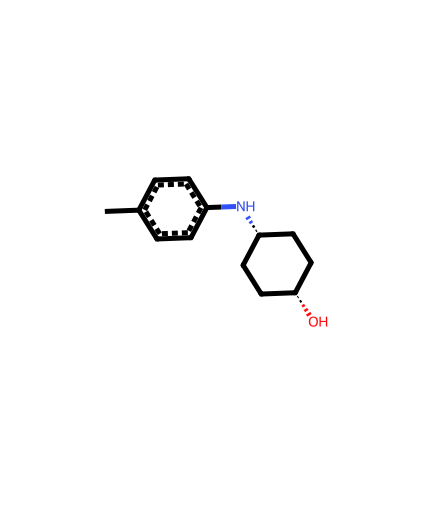 Cc1ccc(N[C@H]2CC[C@@H](O)CC2)cc1